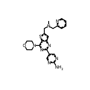 CN(Cc1ccccn1)Cc1cc2nc(-c3cnc(N)nc3)nc(N3CCOCC3)c2s1